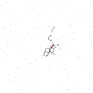 CC(=O)NC(CC(=O)OCC(=O)[C@@]12OC(C)(C)O[C@@H]1C[C@H]1[C@@H]3CCC4=CC(=O)C=C[C@]4(C)[C@@]3(F)[C@@H](O)C[C@@]12C)C(=O)OCCCCCl